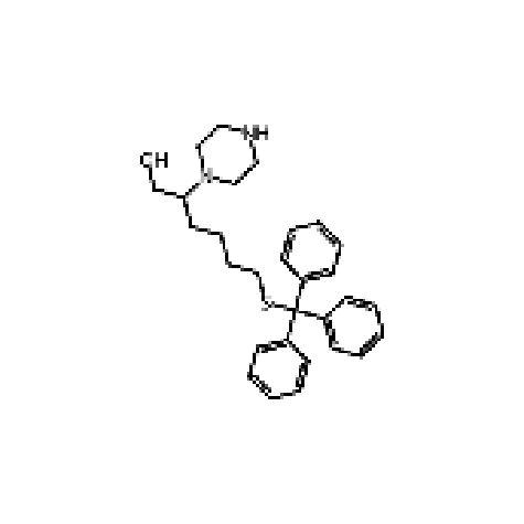 OCC(CCCCSC(c1ccccc1)(c1ccccc1)c1ccccc1)N1CCNCC1